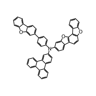 c1ccc2c(c1)oc1cc(-c3ccc(N(c4ccc5c(c4)oc4c5ccc5oc6ccccc6c54)c4ccc5c6ccccc6c6ccccc6c5c4)cc3)ccc12